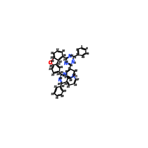 c1ccc(-c2nc(-c3ccccc3)nc(-c3cccc4oc5ccc(-c6nc(-c7ccccc7)c7cccnc7n6)cc5c34)n2)cc1